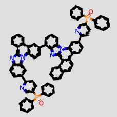 O=P(c1ccccc1)(c1ccccc1)c1ccc(-c2ccc3nc4c5ccccc5c5cc(-c6cccc7c6nc6c8c9ccccc9ccc8c8ccc(-c9ccc(P(=O)(c%10ccccc%10)c%10ccccc%10)cn9)cc8n76)ccc5n4c3c2)nc1